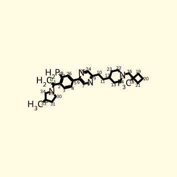 C=C(c1ccc(-c2cnc(CCC3CCN(CC4(C(F)(F)F)CCC4)CC3)cn2)cc1P)N1CCC(C)C1